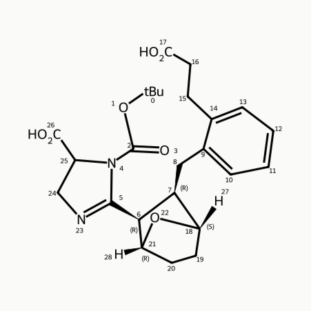 CC(C)(C)OC(=O)N1C([C@H]2[C@@H](Cc3ccccc3CCC(=O)O)[C@@H]3CC[C@H]2O3)=NCC1C(=O)O